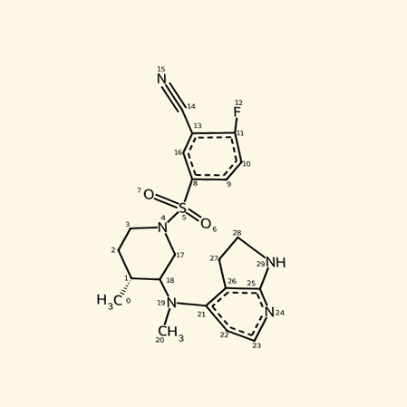 C[C@@H]1CCN(S(=O)(=O)c2ccc(F)c(C#N)c2)CC1N(C)c1ccnc2c1CCN2